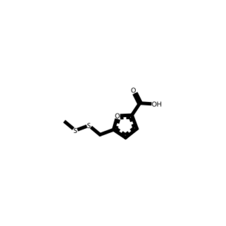 CSSCc1ccc(C(=O)O)o1